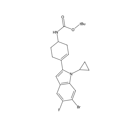 CC(C)(C)OC(=O)NC1CC=C(c2cc3cc(F)c(Br)cc3n2C2CC2)CC1